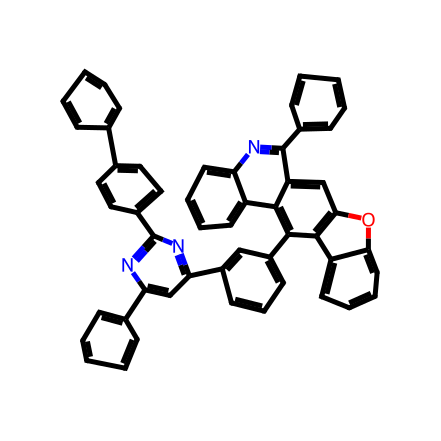 c1ccc(-c2ccc(-c3nc(-c4ccccc4)cc(-c4cccc(-c5c6c(cc7c(-c8ccccc8)nc8ccccc8c57)oc5ccccc56)c4)n3)cc2)cc1